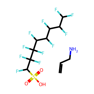 C=CCN.O=S(=O)(O)C(F)C(F)(F)C(F)(F)C(F)C(F)C(F)C(F)C(F)F